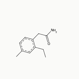 CCc1cc(C)ccc1CC(N)=O